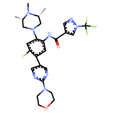 C[C@@H]1CN(c2cc(F)c(-c3cnc(N4CCOCC4)nc3)cc2NC(=O)c2cnn(C(F)(F)F)c2)C[C@H](C)N1C